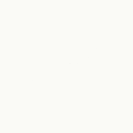 CCC(C)c1cccc2c(C(=O)OC3c4ccccc4-c4ccccc43)cccc12